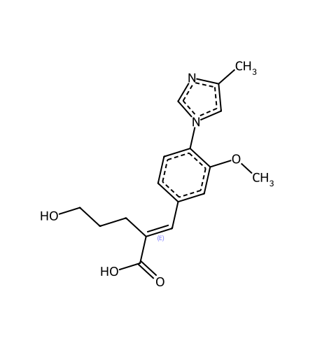 COc1cc(/C=C(\CCCO)C(=O)O)ccc1-n1cnc(C)c1